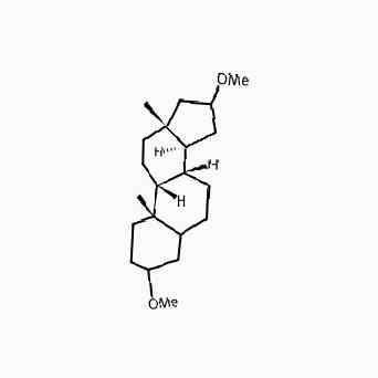 COC1CC[C@@]2(C)C(CC[C@@H]3[C@H]2CC[C@]2(C)CC(OC)C[C@@H]32)C1